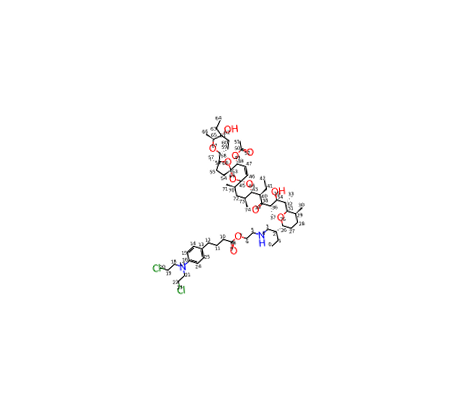 CCC(CNCCOC(=O)CCCc1ccc(N(CCCl)CCCl)cc1)[C@H]1CC[C@H](C)[C@H]([C@@H](C)[C@H](O)[C@H](C)C(=O)[C@H](CC)[C@H]2O[C@]3(C=C[C@@H](OC(C)=O)[C@]4(CC[C@@](C)([C@H]5CC[C@](O)(CC)[C@H](C)O5)O4)O3)[C@H](C)C[C@@H]2C)O1